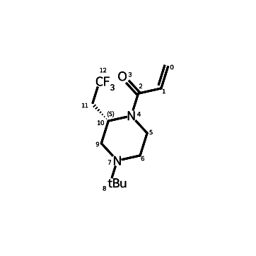 C=CC(=O)N1CCN(C(C)(C)C)C[C@@H]1CC(F)(F)F